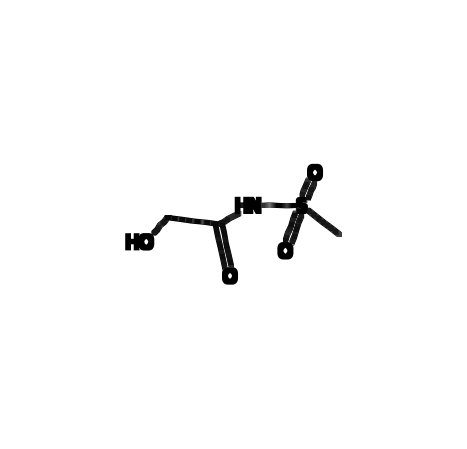 CS(=O)(=O)NC(=O)CO